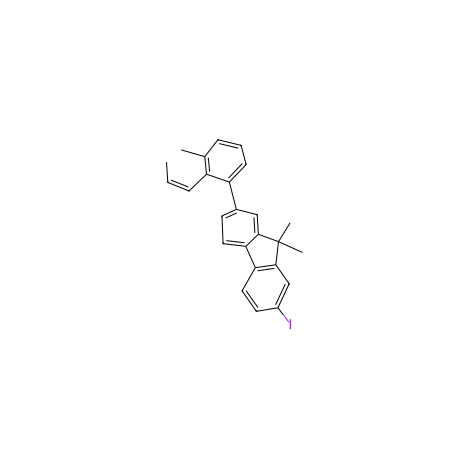 C/C=C\c1c(C)cccc1-c1ccc2c(c1)C(C)(C)c1cc(I)ccc1-2